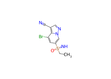 CCS(=N)(=O)c1cc(Br)c2c(C#N)cnn2c1